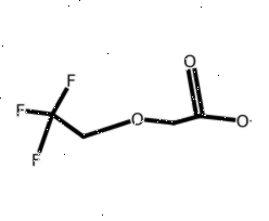 [O]C(=O)COCC(F)(F)F